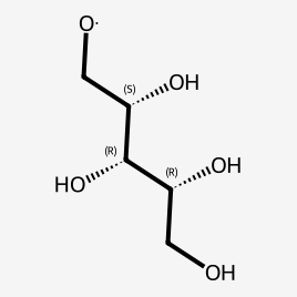 [O]C[C@H](O)[C@@H](O)[C@H](O)CO